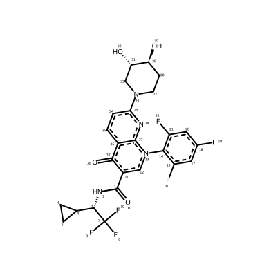 O=C(N[C@@H](C1CC1)C(F)(F)F)c1cn(-c2c(F)cc(F)cc2F)c2nc(N3CC[C@H](O)[C@@H](O)C3)ccc2c1=O